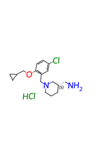 Cl.NC[C@@H]1CCCN(Cc2cc(Cl)ccc2OCC2CC2)C1